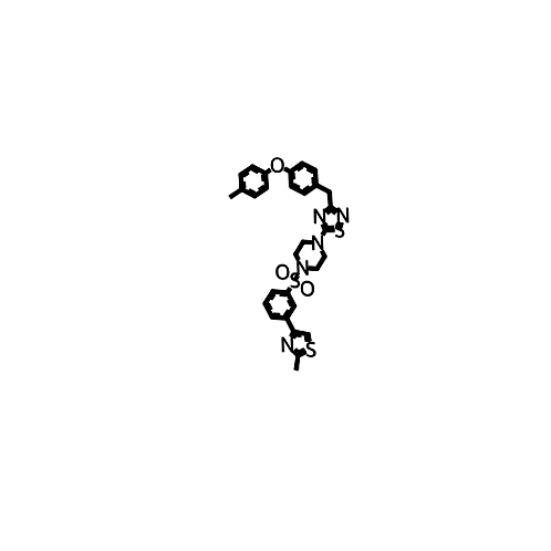 Cc1ccc(Oc2ccc(Cc3nsc(N4CCN(S(=O)(=O)c5cccc(-c6csc(C)n6)c5)CC4)n3)cc2)cc1